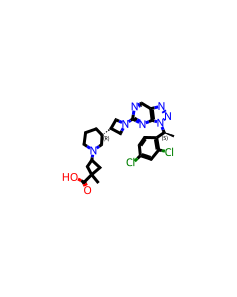 C[C@@H](c1ccc(Cl)cc1Cl)n1nnc2cnc(N3CC([C@H]4CCCN(C5CC(C)(C(=O)O)C5)C4)C3)nc21